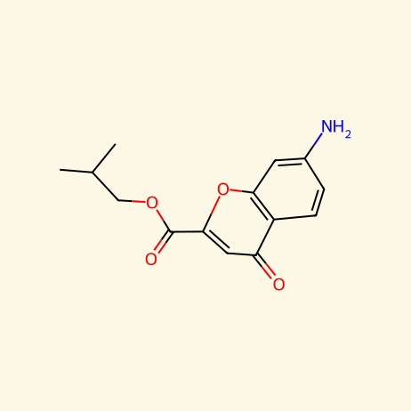 CC(C)COC(=O)c1cc(=O)c2ccc(N)cc2o1